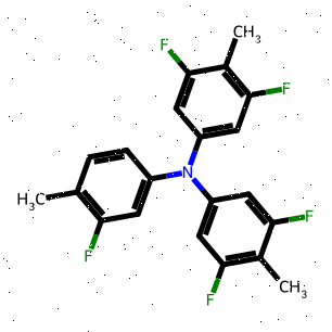 Cc1ccc(N(c2cc(F)c(C)c(F)c2)c2cc(F)c(C)c(F)c2)cc1F